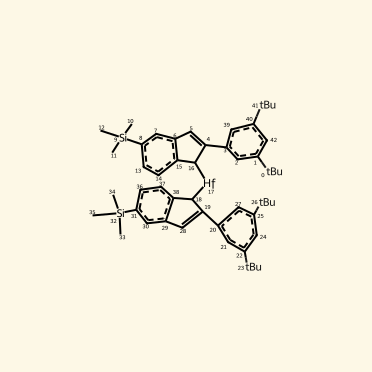 CC(C)(C)c1cc(C2=Cc3cc([Si](C)(C)C)ccc3[CH]2[Hf][CH]2C(c3cc(C(C)(C)C)cc(C(C)(C)C)c3)=Cc3cc([Si](C)(C)C)ccc32)cc(C(C)(C)C)c1